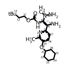 Cc1nc(/C(N)=C(\NC(=O)OCCC(C)(C)C)N(C)N)ccc1OC1CCCCC1